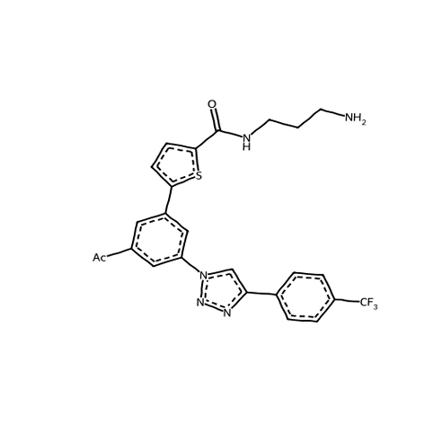 CC(=O)c1cc(-c2ccc(C(=O)NCCCN)s2)cc(-n2cc(-c3ccc(C(F)(F)F)cc3)nn2)c1